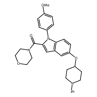 COc1ccc(-n2c(C(=O)N3CCOCC3)cc3cc(OC4CCN(C(C)C)CC4)ccc32)cc1